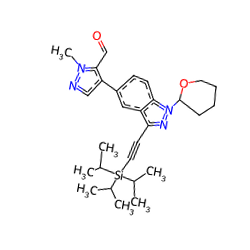 CC(C)[Si](C#Cc1nn(C2CCCCO2)c2ccc(-c3cnn(C)c3C=O)cc12)(C(C)C)C(C)C